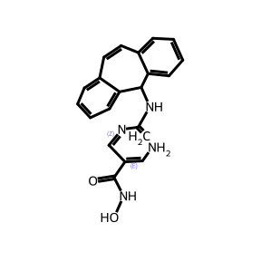 C=C(/N=C\C(=C/N)C(=O)NO)NC1c2ccccc2C=Cc2ccccc21